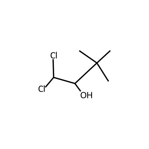 CC(C)(C)C(O)C(Cl)Cl